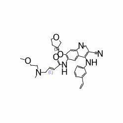 C=Cc1cccc(Nc2c(C#N)cnc3cc(O[C@H]4CCOC4)c(NC(=O)/C=C/CN(C)CCOC)cc23)c1